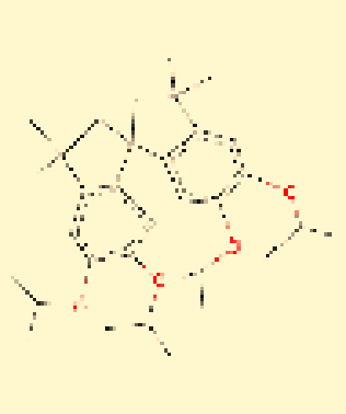 CC(C)Oc1cc2c(cc1OC(C)C)C1(CC2(C)C)CC(C)(C)c2cc(OC(C)C)c(OC(C)C)cc21